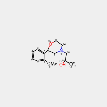 COc1ccccc1C1CN(C[C@H](O)C(F)(F)F)CCO1